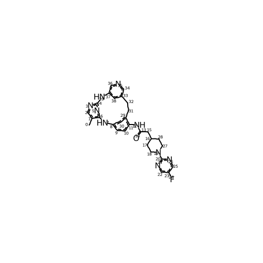 Cc1cnc2nc1Nc1ccc(NC(=O)CC3CCN(c4ncc(F)cn4)CC3)c(c1)CCc1cncc(c1)N2